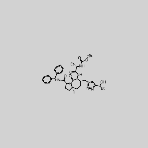 CCC(O)c1cn(C[C@H]2CC[C@H]3CC[C@@H](C(=O)NC(c4ccccc4)c4ccccc4)N3C(=O)[C@H]2NC(=O)[C@H](CC)NC(=O)OC(C)(C)C)nn1